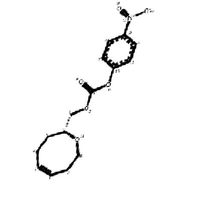 O=C(OC[C@H]1CCC=CCCO1)Oc1ccc([N+](=O)[O-])cc1